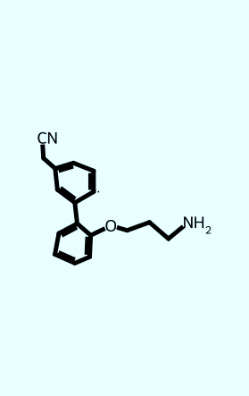 N#CCc1cc[c]c(-c2ccccc2OCCCN)c1